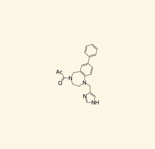 CC(=O)C(=O)N1CCN(Cc2c[nH]cn2)c2ccc(-c3ccccc3)cc2C1